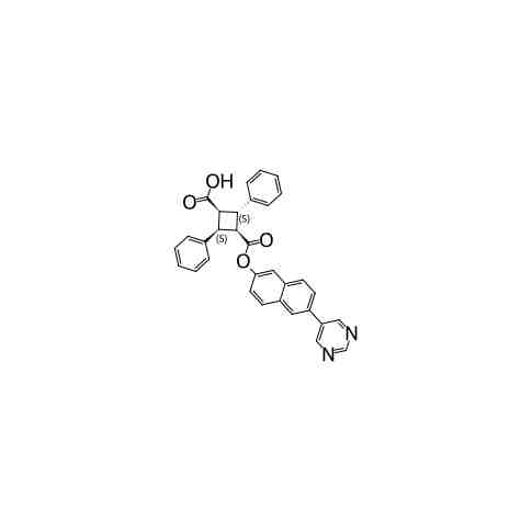 O=C(O)[C@H]1[C@H](c2ccccc2)[C@@H](C(=O)Oc2ccc3cc(-c4cncnc4)ccc3c2)[C@H]1c1ccccc1